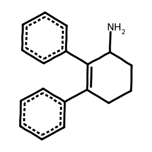 NC1CCCC(c2ccccc2)=C1c1ccccc1